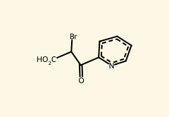 O=C(O)C(Br)C(=O)c1ccccn1